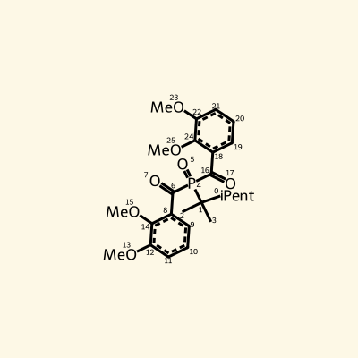 CCCC(C)C(C)(C)P(=O)(C(=O)c1cccc(OC)c1OC)C(=O)c1cccc(OC)c1OC